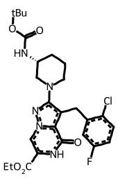 CCOC(=O)c1cn2nc(N3CCC[C@@H](NC(=O)OC(C)(C)C)C3)c(Cc3cc(F)ccc3Cl)c2c(=O)[nH]1